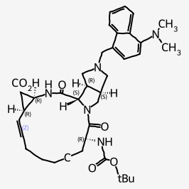 CN(C)c1ccc(CN2C[C@H]3CN4C(=O)[C@H](NC(=O)OC(C)(C)C)CCCCC/C=C\[C@H]5C[C@@]5(C(=O)O)NC(=O)[C@@H]4[C@H]3C2)c2ccccc12